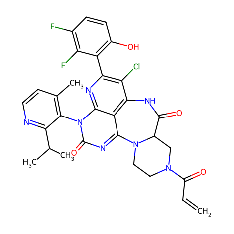 C=CC(=O)N1CCN2c3nc(=O)n(-c4c(C)ccnc4C(C)C)c4nc(-c5c(O)ccc(F)c5F)c(Cl)c(c34)NC(=O)C2C1